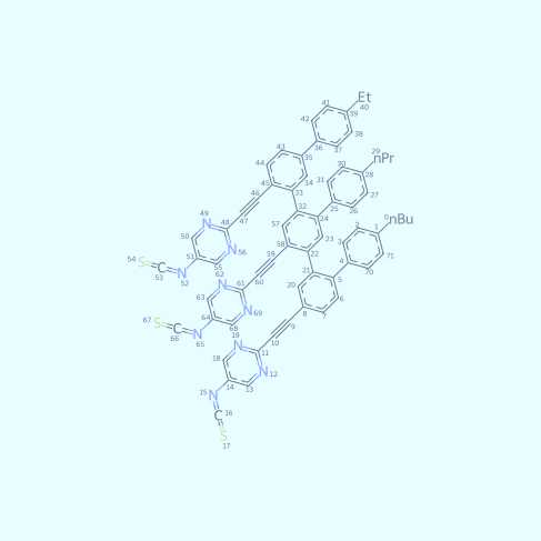 CCCCc1ccc(-c2ccc(C#Cc3ncc(N=C=S)cn3)cc2-c2cc(-c3ccc(CCC)cc3)c(-c3cc(-c4ccc(CC)cc4)ccc3C#Cc3ncc(N=C=S)cn3)cc2C#Cc2ncc(N=C=S)cn2)cc1